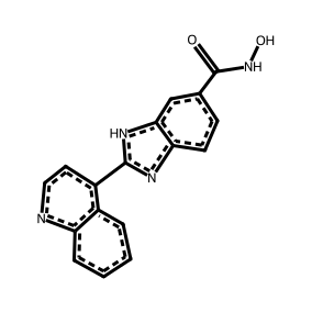 O=C(NO)c1ccc2nc(-c3ccnc4ccccc34)[nH]c2c1